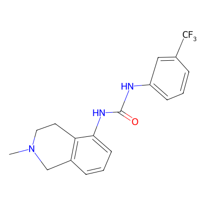 CN1CCc2c(cccc2NC(=O)Nc2cccc(C(F)(F)F)c2)C1